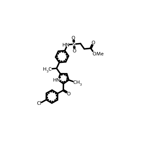 COC(=O)CCS(=O)(=O)Nc1ccc(C(C)c2cc(C)c(C(=O)c3ccc(Cl)cc3)[nH]2)cc1